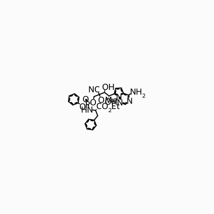 CCOC(=O)[C@H](Cc1ccccc1)NP(=O)(OCC(C#N)(OC)[C@@H](O)[C@@H](O)c1ccc2c(N)ncnn12)Oc1ccccc1